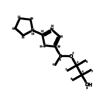 CB(OC(C)(C)C(C)(C)O)c1cnc(N2CCCC2)s1